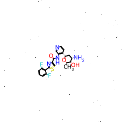 C[C@@H]1O[C@H](c2ccncc2NC(=O)c2csc(-c3c(F)cccc3F)n2)C[C@H](N)[C@H]1O